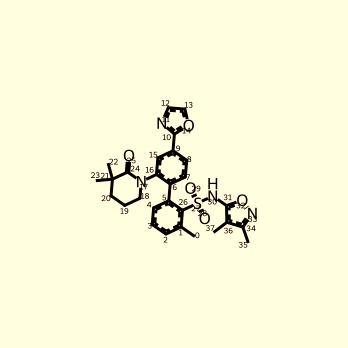 Cc1cccc(-c2ccc(-c3ncco3)cc2N2CCCC(C)(C)C2=O)c1S(=O)(=O)Nc1onc(C)c1C